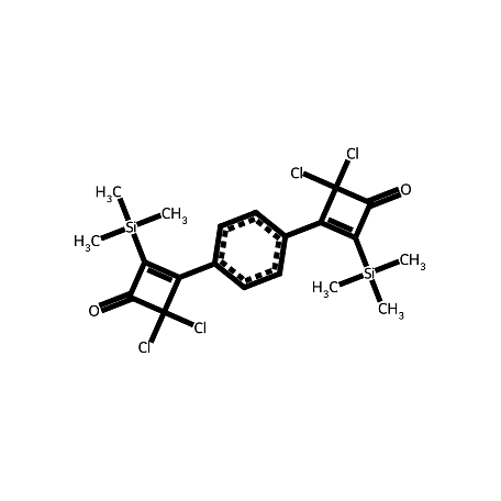 C[Si](C)(C)C1=C(c2ccc(C3=C([Si](C)(C)C)C(=O)C3(Cl)Cl)cc2)C(Cl)(Cl)C1=O